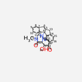 CN1CN(C23C(=Cc4ccccc42)Cc2ccccc23)n2ccc(=O)c(O)c2C1=O